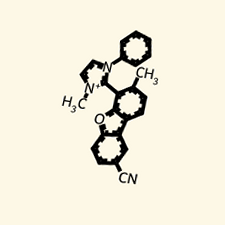 Cc1ccc2c(oc3ccc(C#N)cc32)c1-c1n(-c2ccccc2)cc[n+]1C